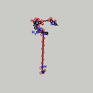 C=C1CC2C=Nc3cc(OCCCCCOc4cc5c(cc4OC)C(=O)[N@+]4(Cc6ccccc6NC(=O)CNC(=O)[C@](CCCCN)(Cc6ccccc6)NC(=O)CCOCCOCCOCCOCCOCCOCCOCCOCCNC(=O)CCN6C(=O)C=CC6=O)CC(=C)C[C@H]4[C@H](O)N5C(=O)[O-])c(OC)cc3C(=O)N2C1